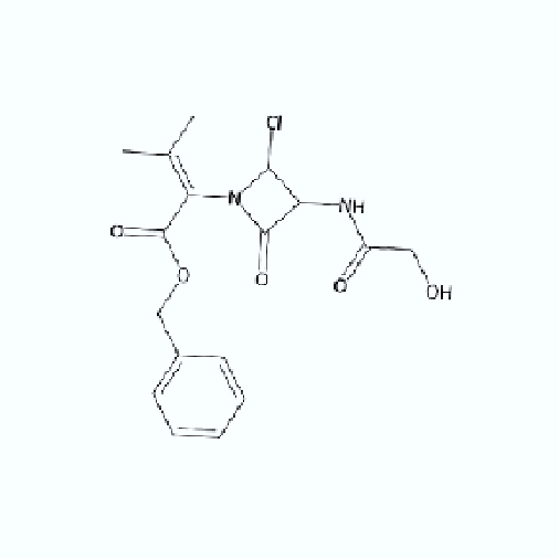 CC(C)=C(C(=O)OCc1ccccc1)N1C(=O)C(NC(=O)CO)C1Cl